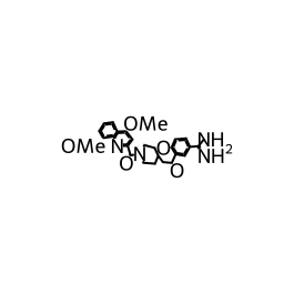 COc1cc(C(=O)N2CCC3(CC2)CC(=O)c2cc(C(=N)N)ccc2O3)nc2c(OC)cccc12